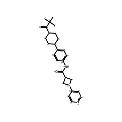 CC(C)(C)C(=O)N1CCC(c2ccc(NC(=O)C3CN(c4ccnnc4)C3)cc2)CC1